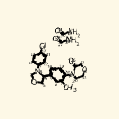 Cc1cc(C2COCN2c2ccc(Cl)cc2)ccc1N1CCOCC1=O.NC=O.NC=O